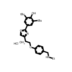 CCNCc1ccc(OCCc2coc(-c3cc(C(C)(C)C)c(O)c(C(C)(C)C)c3)n2)cc1.Cl.O